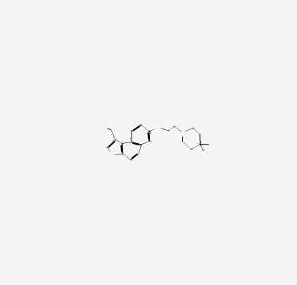 CCOC(=O)Cc1coc2ccc3cc(OCCN4CCC(C)(O)CC4)ccc3c12